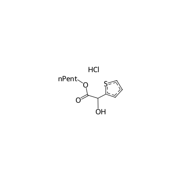 CCCCCOC(=O)C(O)c1cccs1.Cl